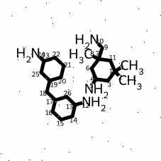 CC1(C)CC(N)CC(C)(CN)C1.NC1CCCC(CC2CCCC(N)C2)C1